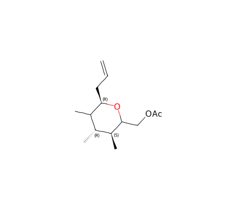 C=CC[C@H]1OC(COC(C)=O)[C@@H](C)[C@H](C)C1C